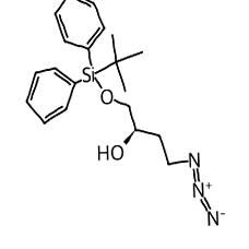 CC(C)(C)[Si](OC[C@H](O)CCN=[N+]=[N-])(c1ccccc1)c1ccccc1